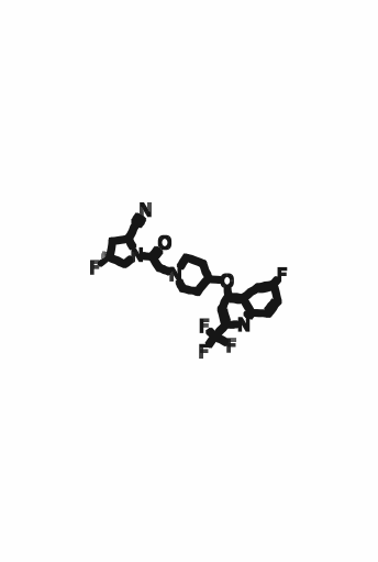 N#CC1C[C@H](F)CN1C(=O)CN1CCC(Oc2cc(C(F)(F)F)nc3ccc(F)cc23)CC1